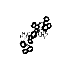 CC1(C)c2cc(N(c3ccccc3)c3cccc4ccccc34)ccc2-c2cc3c(cc21)-c1c(cc(C[C@H](c2ccccc2)c2cccc4ccccc24)c2ccccc12)C3(C)C